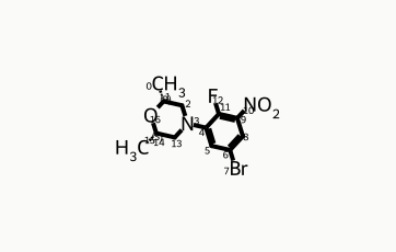 C[C@@H]1CN(c2cc(Br)cc([N+](=O)[O-])c2F)C[C@H](C)O1